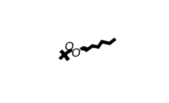 CCCCCC=COC(=O)C(C)(C)C